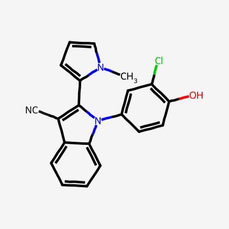 Cn1cccc1-c1c(C#N)c2ccccc2n1-c1ccc(O)c(Cl)c1